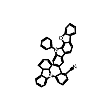 N#Cc1cccc(N2c3ccccc3C3C=CC=CC32)c1-c1ccc2c(c1)c1ccc3c4ccccc4oc3c1n2-c1ccccc1